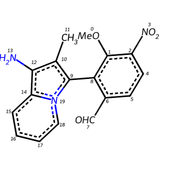 COc1c([N+](=O)[O-])ccc(C=O)c1-c1c(C)c(N)c2ccccn12